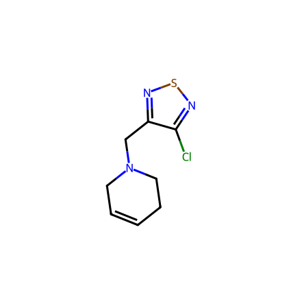 Clc1nsnc1CN1CC=CCC1